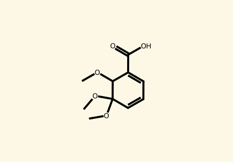 COC1C(C(=O)O)=CC=CC1(OC)OC